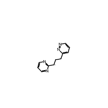 [CH](CCc1cccnn1)c1ncccn1